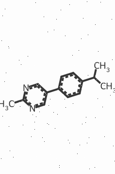 Cc1ncc(-c2ccc(C(C)C)cc2)cn1